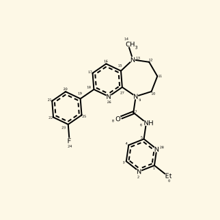 CCc1nccc(NC(=O)N2CCCN(C)c3ccc(-c4cccc(F)c4)nc32)n1